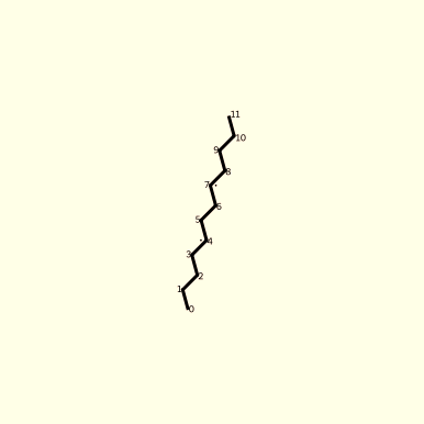 CCCC[CH]CC[CH]CCCC